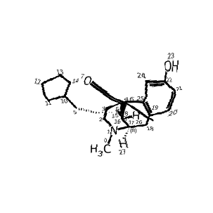 CN1CC[C@]23CC(=O)[C@@H](CC4CCCC4)C[C@H]2[C@H]1Cc1ccc(O)cc13